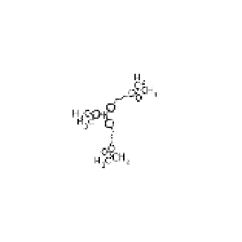 C=C(C)C(=O)OCCCCc1ccc(N(c2ccc(CCCCOC(=O)C(=C)C)cc2)c2ccc(C)c(C)c2)cc1